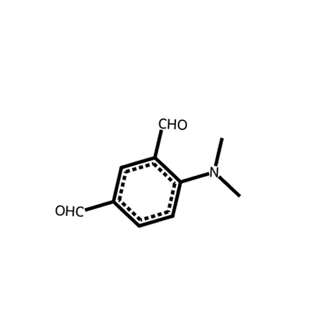 CN(C)c1ccc(C=O)cc1C=O